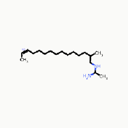 C/C=C\CCCCCCCCCCC(C)CNC(C)N